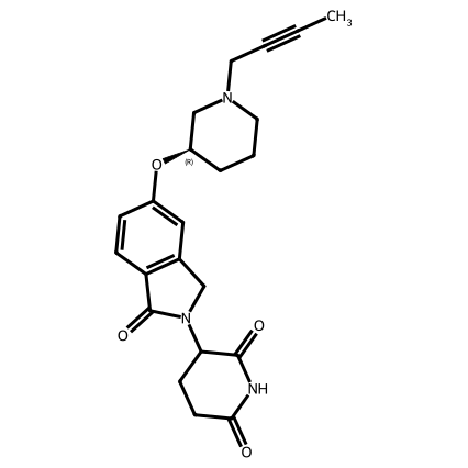 CC#CCN1CCC[C@@H](Oc2ccc3c(c2)CN(C2CCC(=O)NC2=O)C3=O)C1